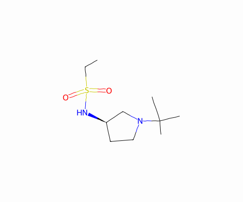 CCS(=O)(=O)N[C@@H]1CCN(C(C)(C)C)C1